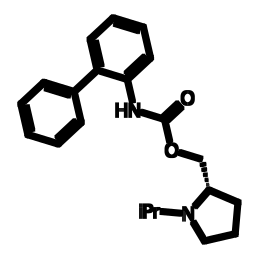 CC(C)N1CCC[C@H]1COC(=O)Nc1ccccc1-c1ccccc1